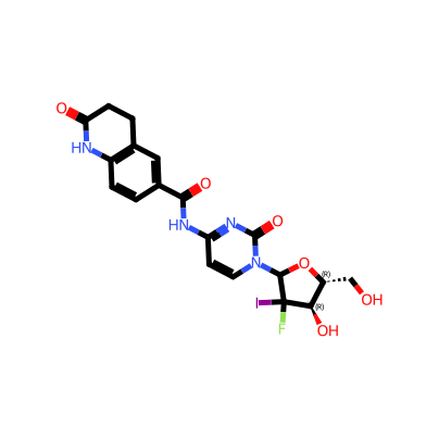 O=C1CCc2cc(C(=O)Nc3ccn(C4O[C@H](CO)[C@@H](O)C4(F)I)c(=O)n3)ccc2N1